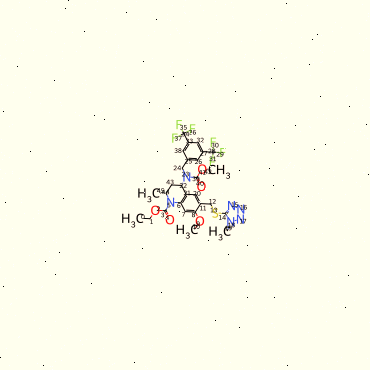 CCOC(=O)N1c2cc(OC)c(CSc3nnnn3C)cc2[C@@H](N(Cc2cc(C(F)(F)F)cc(C(F)(F)F)c2)C(=O)OC)C[C@H]1C